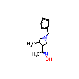 CC(=NO)C1CN(Cc2ccccc2)CC1C